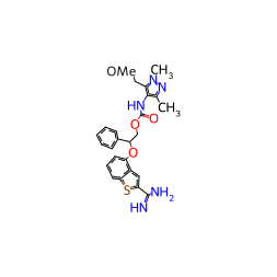 COCc1c(NC(=O)OCC(Oc2cccc3sc(C(=N)N)cc23)c2ccccc2)c(C)nn1C